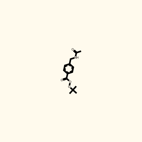 CC(=O)NCc1ccc(C(=O)OOC(C)(C)C)cc1